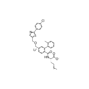 CSCC[C@H](NC(=O)c1ccc(COCc2cnc(-c3ccc(Cl)cc3)s2)cc1-c1ccccc1C)C(=O)[O-].[Li+]